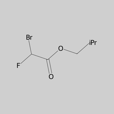 CC(C)COC(=O)C(F)Br